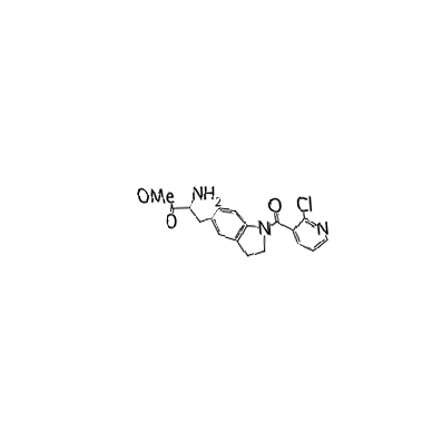 COC(=O)C(N)Cc1ccc2c(c1)CCN2C(=O)c1cccnc1Cl